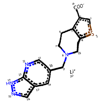 O=C([O-])c1csc2c1CCN(Cc1cnc3[nH]ncc3c1)C2.[Li+]